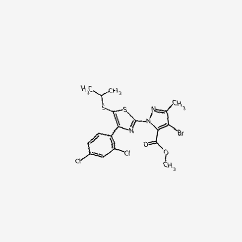 COC(=O)c1c(Br)c(C)nn1-c1nc(-c2ccc(Cl)cc2Cl)c(SC(C)C)s1